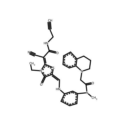 C#CCNC(=O)C(C#N)=c1sc(=CNc2cccc(N(C)C(=O)CN3CCCc4ccccc43)c2)c(=O)n1CC